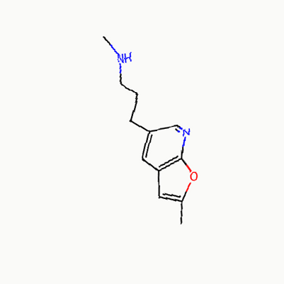 CNCCCc1cnc2oc(C)cc2c1